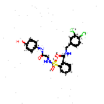 O=C(CNS(=O)(=O)c1ccccc1C(=O)NCc1ccc(Cl)c(Cl)c1)Nc1ccc(O)cc1